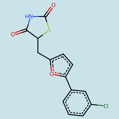 O=C1NC(=O)C(Cc2ccc(-c3cccc(Cl)c3)o2)S1